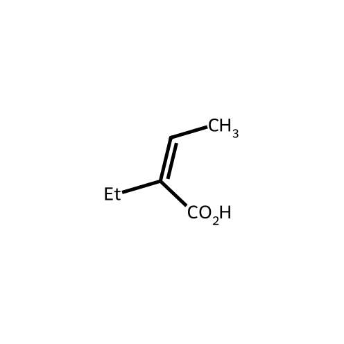 CC=C(CC)C(=O)O